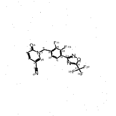 N#Cc1ccc(=O)n(Cc2ccc(-c3noc(C(F)(F)F)n3)c(F)c2F)c1